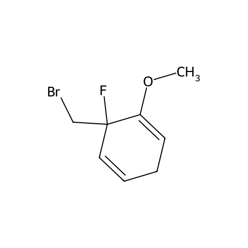 COC1=CCC=CC1(F)CBr